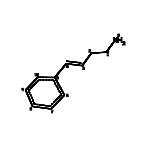 N[CH]CC=Cc1ccccc1